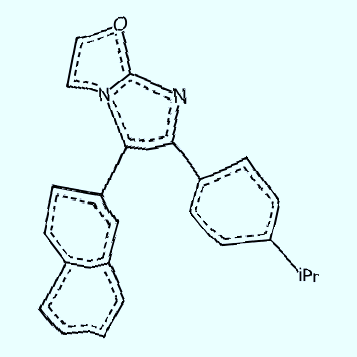 CC(C)c1ccc(-c2nc3occn3c2-c2ccc3ccccc3c2)cc1